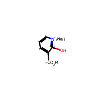 O=C(O)c1cccnc1O.[NaH]